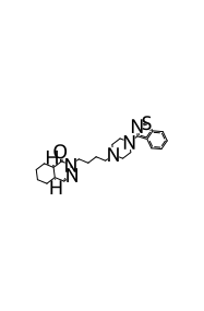 O=C1[C@H]2CCCC[C@@H]2C=NN1CCCCN1CCN(c2nsc3ccccc23)CC1